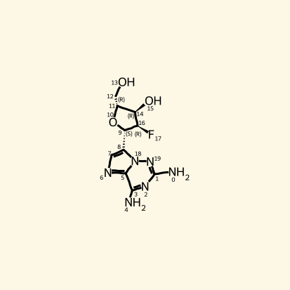 Nc1nc(N)c2ncc([C@@H]3O[C@H](CO)[C@@H](O)[C@H]3F)n2n1